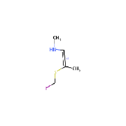 CN/C=C(/C)SCI